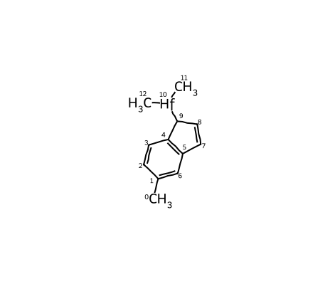 Cc1ccc2c(c1)C=C[CH]2[Hf]([CH3])[CH3]